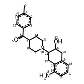 Cc1ccc(C(=O)C2CCN(C3Cc4c(N)cccc4CC3O)CC2)cn1